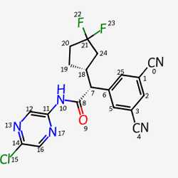 N#Cc1cc(C#N)cc([C@H](C(=O)Nc2cnc(Cl)cn2)[C@@H]2CCC(F)(F)C2)c1